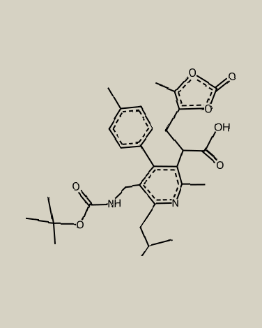 Cc1ccc(-c2c(CNC(=O)OC(C)(C)C)c(CC(C)C)nc(C)c2C(Cc2oc(=O)oc2C)C(=O)O)cc1